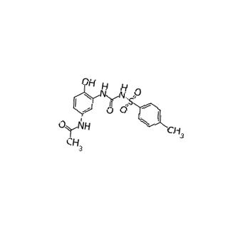 CC(=O)Nc1ccc(O)c(NC(=O)NS(=O)(=O)c2ccc(C)cc2)c1